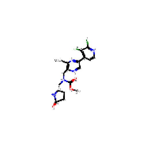 COc1nc(-c2ccnc(Cl)c2Cl)cnc1CN(C[C@@H]1CCC(=O)N1)C(=O)OC(C)(C)C